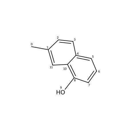 Cc1ccc2cccc(O)c2c1